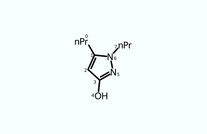 CCCc1cc(O)nn1CCC